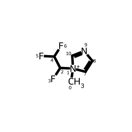 C[N+]1(C(F)C(F)F)C=CN=C1